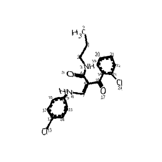 CCCNC(=O)C(=CNc1ccc(Cl)cc1)C(=O)c1ccccc1Cl